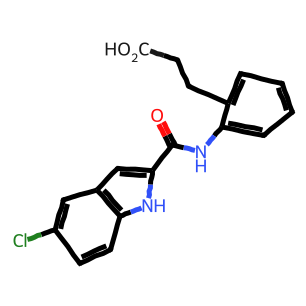 O=C(O)CCc1ccccc1NC(=O)c1cc2cc(Cl)ccc2[nH]1